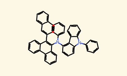 c1ccc(N(c2c(-c3ccc4ccccc4c3)c3ccccc3c3ccccc23)c2cccc3c2c2ccccc2n3-c2ccccc2)cc1